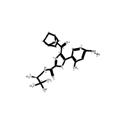 CC[C@@H](C)Nc1cc(C)c(-c2sc(C(=O)N[C@H](C)C(C)(C)O)nc2C(=O)N2C3CCC2CC3)cn1